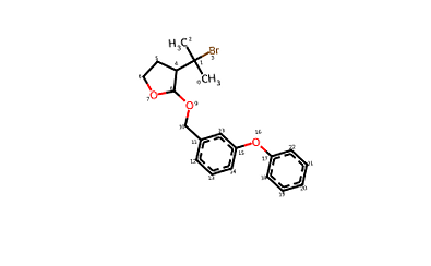 CC(C)(Br)C1CCOC1OCc1cccc(Oc2ccccc2)c1